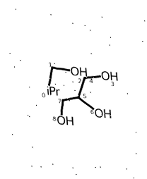 CC(C)CO.OCC(O)CO